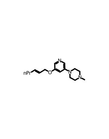 CCCC=CCOc1cncc(N2CCN(C)CC2)c1